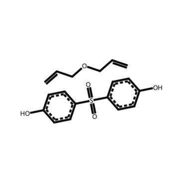 C=CCOCC=C.O=S(=O)(c1ccc(O)cc1)c1ccc(O)cc1